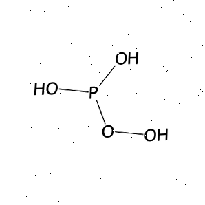 OOP(O)O